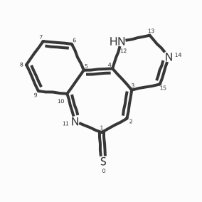 S=c1cc2c(c3ccccc3n1)NCN=C2